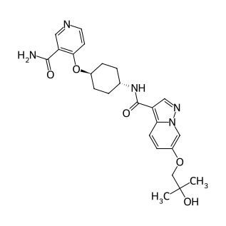 CC(C)(O)COc1ccc2c(C(=O)N[C@H]3CC[C@H](Oc4ccncc4C(N)=O)CC3)cnn2c1